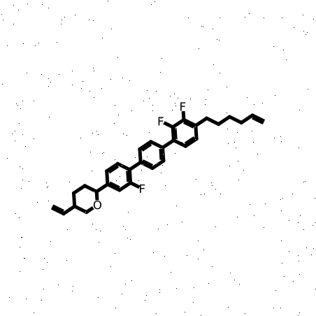 C=CCCCCc1ccc(-c2ccc(-c3ccc(C4CCC(C=C)CO4)cc3F)cc2)c(F)c1F